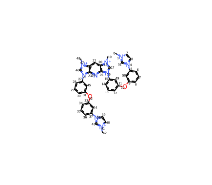 C[n+]1ccn(-c2cccc(Oc3cccc(-n4c[n+](C)c5cc6c(nc54)n(-c4cccc(Oc5cccc(-n7cc[n+](C)c7)c5)c4)c[n+]6C)c3)c2)c1